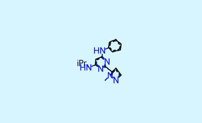 CC(C)Nc1cc(Nc2ccccc2)nc(-c2ccnn2C)n1